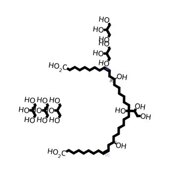 O=C(O)CCCCCCC/C=C\C[C@H](O)CCCCCCC(O)(CCCCCC[C@@H](O)C/C=C\CCCCCCCC(=O)O)C(O)CO.OCC(O)CO.OCC(O)CO.OCC(O)CO.OCC(O)CO.OCC(O)CO